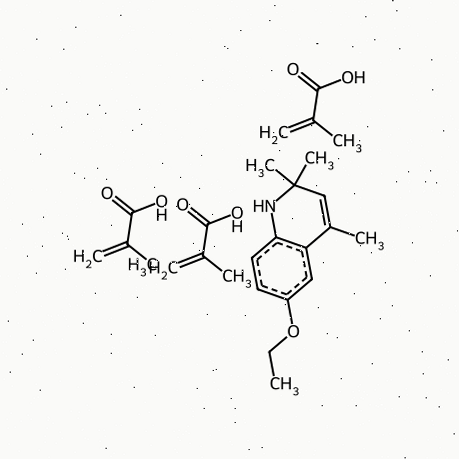 C=C(C)C(=O)O.C=C(C)C(=O)O.C=C(C)C(=O)O.CCOc1ccc2c(c1)C(C)=CC(C)(C)N2